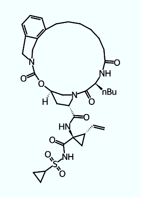 C=C[C@@H]1C[C@]1(NC(=O)[C@@H]1C[C@@H]2CN1C(=O)[C@H](CCCC)NC(=O)CCCCCCc1cccc3c1CN(C3)C(=O)O2)C(=O)NS(=O)(=O)C1CC1